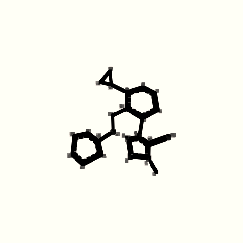 Cn1nnn(-c2cccc(C3CC3)c2COc2ccccc2)c1=O